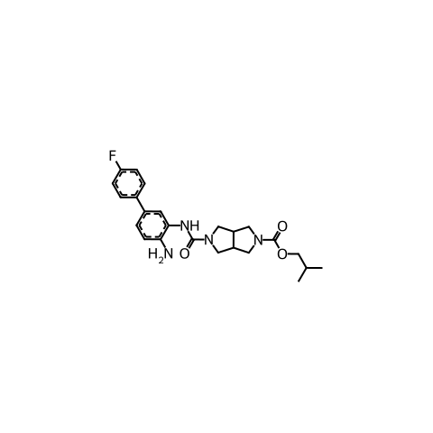 CC(C)COC(=O)N1CC2CN(C(=O)Nc3cc(-c4ccc(F)cc4)ccc3N)CC2C1